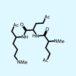 CNCCCC(CC(C)=O)NC(=O)C(CCC(C)=O)NC(=O)C(CCC(C)=O)NC